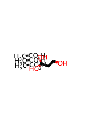 CC(=O)O.CC(=O)O.CC(=O)O.OCCC(O)O